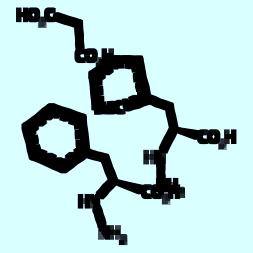 NN[C@@H](Cc1ccccc1)C(=O)O.NN[C@@H](Cc1ccccc1)C(=O)O.O=C(O)CC(=O)O